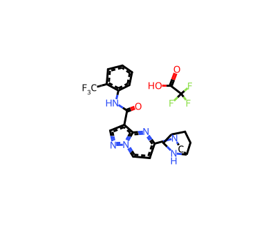 O=C(Nc1ccccc1C(F)(F)F)c1cnn2ccc(N3CC4CCC3CN4)nc12.O=C(O)C(F)(F)F